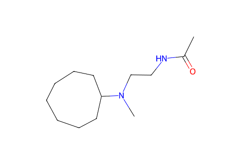 CC(=O)NCCN(C)C1CCCCCCC1